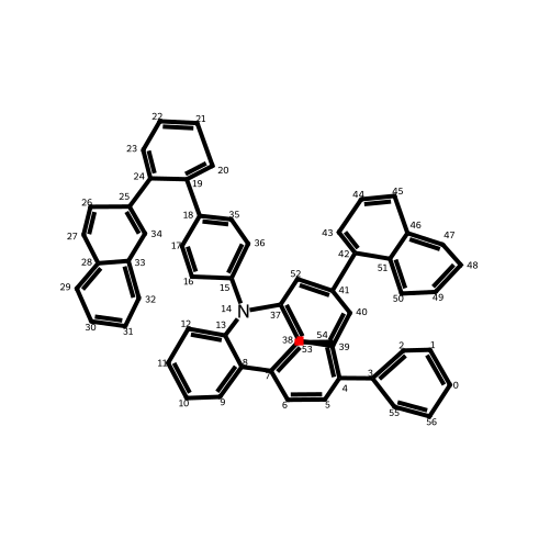 c1ccc(-c2ccc(-c3ccccc3N(c3ccc(-c4ccccc4-c4ccc5ccccc5c4)cc3)c3cccc(-c4cccc5ccccc45)c3)cc2)cc1